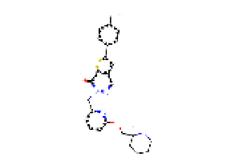 COc1ccc(-c2cc3cnn(Cc4cccc(OC[C@]5(C)CCCCN5)n4)c(=O)c3s2)cc1